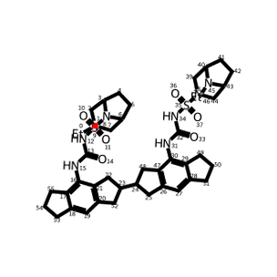 CCN1CC2CCC(C1)N2S(=O)(=O)NC(=O)Nc1c2c(cc3c1CC(C1Cc4cc5c(c(NC(=O)NS(=O)(=O)N6CC7CCC(C6)N7CC)c4C1)CCC5)C3)CCC2